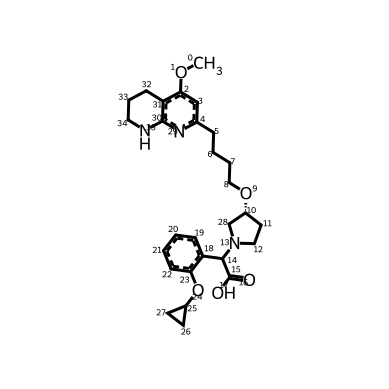 COc1cc(CCCCO[C@@H]2CCN(C(C(=O)O)c3ccccc3OC3CC3)C2)nc2c1CCCN2